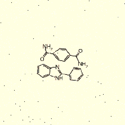 NC(=O)c1ccc(C(N)=O)cc1.c1ccc(-c2nc3ccccc3[nH]2)cc1